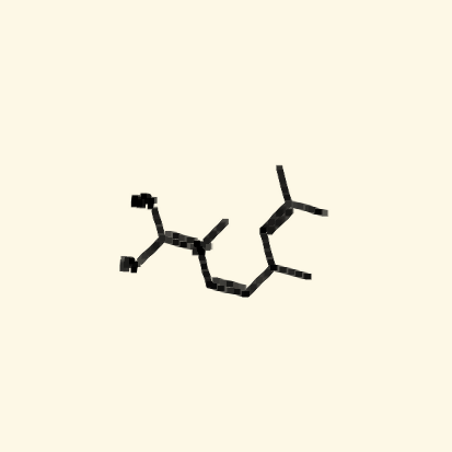 CCC/C(C(C)C)=[N+](C)/C=C\C(C)C=C(C)C